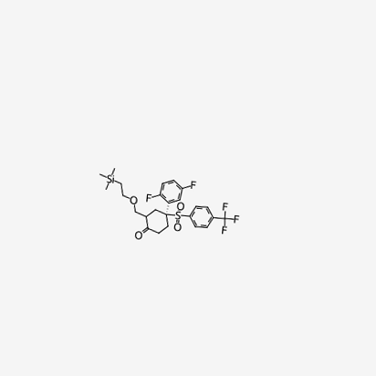 C[Si](C)(C)CCOCC1C[C@@](c2cc(F)ccc2F)(S(=O)(=O)c2ccc(C(F)(F)F)cc2)CCC1=O